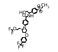 CCS(=O)(=O)c1ccc(C(CO)NC(=O)c2ccc(N3C[C@H](Oc4ccc(C(F)(F)F)cc4)C[C@H]3CCOC(F)F)cc2)cc1